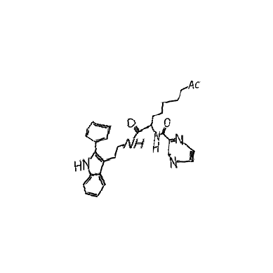 CC(=O)CCCCCC(NC(=O)c1cnccn1)C(=O)NCCc1c(-c2ccccc2)[nH]c2ccccc12